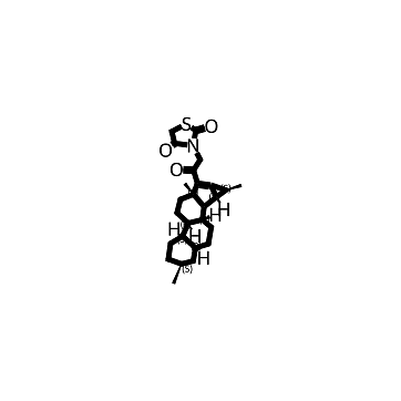 C[C@H]1CC[C@H]2[C@H](CC[C@H]3C4[C@H]5C(=C(C(=O)CN6C(=O)CSC6=O)[C@@]4(C)CC[C@H]23)[C@H]5C)C1